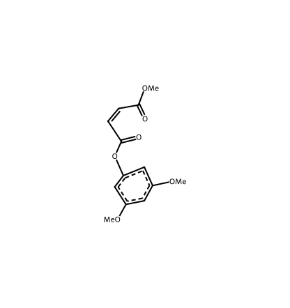 COC(=O)/C=C\C(=O)Oc1cc(OC)cc(OC)c1